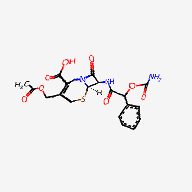 CC(=O)OCC1=C(C(=O)O)N2C(=O)[C@@H](NC(=O)C(OC(N)=O)c3ccccc3)[C@H]2SC1